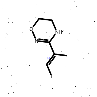 C/C(=C\I)C1=NOCCN1